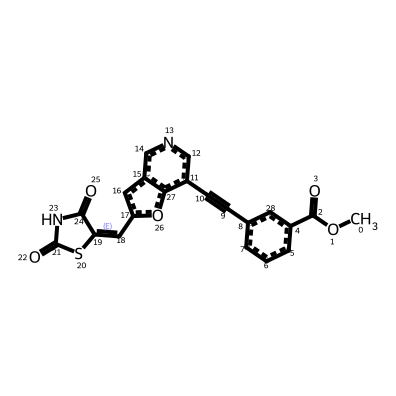 COC(=O)c1cccc(C#Cc2cncc3cc(/C=C4/SC(=O)NC4=O)oc23)c1